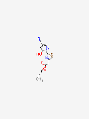 CCCCOC(=O)Cc1csc(-c2ncc(C#N)cc2O)n1